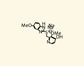 COc1ccc2[nH]c([S+]([O-])Cc3nccc(O)c3OC)nc2c1.[Na].[Na]